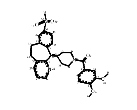 COc1ccc(C(=O)N2CCC(=C3c4ccc(S(C)(=O)=O)cc4CCc4cccnc43)CC2)cc1OC